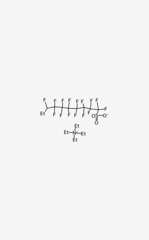 CCC(F)C(F)(F)C(F)(F)C(F)(F)C(F)(F)C(F)(F)C(F)(F)C(F)(F)S(=O)(=O)[O-].CC[N+](CC)(CC)CC